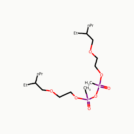 CCCC(CC)COCCOP(C)(=O)OP(C)(=O)OCCOCC(CC)CCC